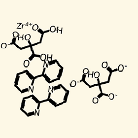 O=C([O-])CC(O)(CC(=O)O)C(=O)O.O=C([O-])CC(O)(CC(=O)[O-])C(=O)[O-].[Zr+4].c1ccc(-c2ccccn2)nc1.c1ccc(-c2ccccn2)nc1